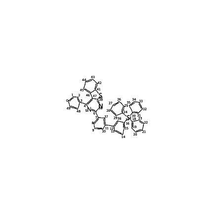 c1ccc(-c2nc(-c3cccc(-c4cccc([Si](c5ccccc5)(c5ccccc5)c5ccccc5)c4)c3)nc3sc4ccccc4c23)cc1